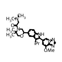 COc1cc(-c2[nH]c3ccc(C4CN(C(=O)CN(C)C)C(C)(C)CO4)cc3c2C(C)C)cn2ncnc12